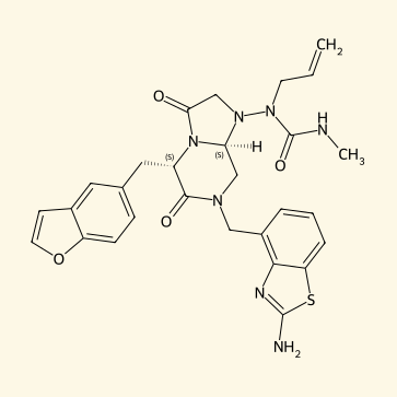 C=CCN(C(=O)NC)N1CC(=O)N2[C@@H](Cc3ccc4occc4c3)C(=O)N(Cc3cccc4sc(N)nc34)C[C@@H]21